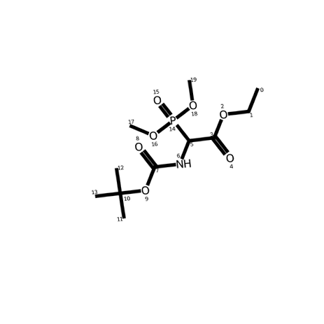 CCOC(=O)C(NC(=O)OC(C)(C)C)P(=O)(OC)OC